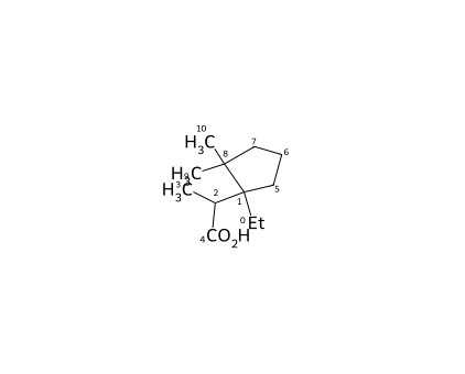 CCC1(C(C)C(=O)O)CCCC1(C)C